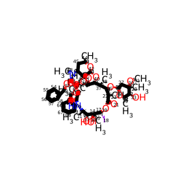 CO[C@]1(C)C[C@@H](C)C(=O)N[C@H](C)[C@@H](O)[C@](C)(O)[C@@H](I)OC(=O)[C@H](C)[C@@H](O[C@H]2C[C@@](C)(OC)[C@@H](O)[C@H](C)O2)[C@H](C)[C@H]1O[C@@H]1O[C@H](C)C[C@H](N(C)C(=O)OCc2ccccc2)[C@H]1OC(=O)OCc1ccccc1